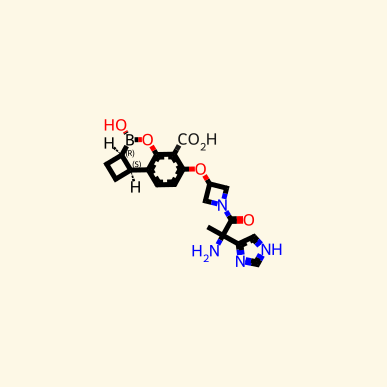 CC(N)(C(=O)N1CC(Oc2ccc3c(c2C(=O)O)OB(O)[C@@H]2CC[C@H]32)C1)c1c[nH]cn1